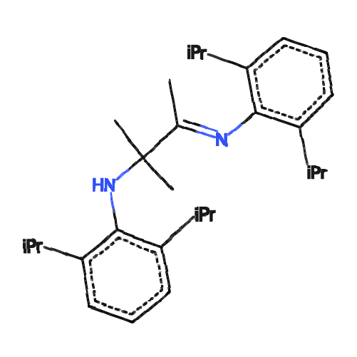 C/C(=N\c1c(C(C)C)cccc1C(C)C)C(C)(C)Nc1c(C(C)C)cccc1C(C)C